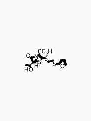 CC(O)[C@H]1C(=O)N2C(C(=O)O)=C(SCCSc3ccco3)S[C@H]12